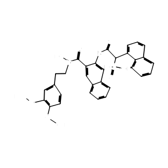 COc1ccc(CCN(C)C(=O)c2cc3ccccc3cc2NC(=O)C(c2cccc3ccccc23)P(=O)(O)O)cc1OC